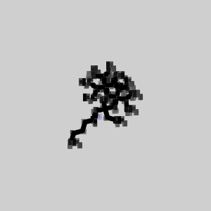 CCCC/N=P/C(C)(CC)N=P(N=P(N(C)C)(N(C)C)N(C)C)(N(C)C)N(C)C